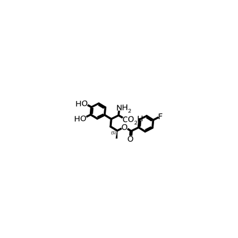 C[C@@H](CC(c1ccc(O)c(O)c1)C(N)C(=O)O)OC(=O)c1ccc(F)cc1